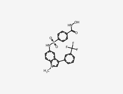 Cn1cc(-c2cccc(C(F)(F)F)c2)c2cc(NS(=O)(=O)c3ccc(C(=O)NO)cc3)ccc21